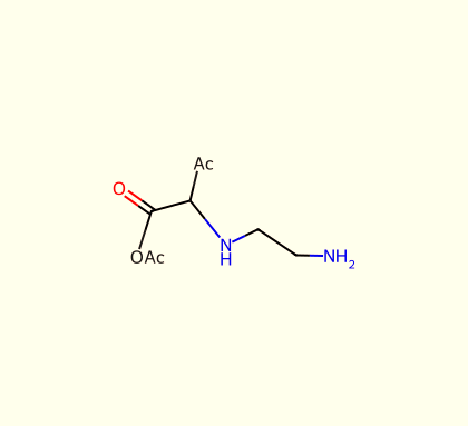 CC(=O)OC(=O)C(NCCN)C(C)=O